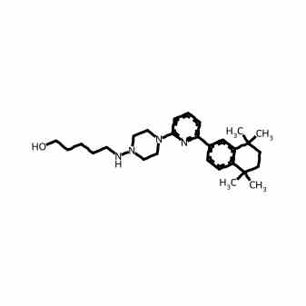 CC1(C)CCC(C)(C)c2cc(-c3cccc(N4CCN(NCCCCCO)CC4)n3)ccc21